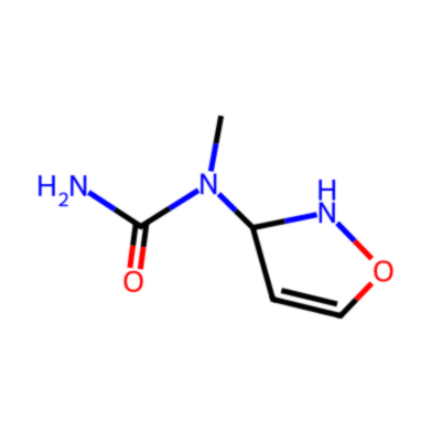 CN(C(N)=O)C1C=CON1